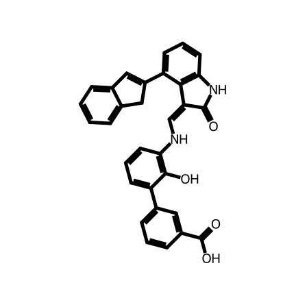 O=C1Nc2cccc(C3=Cc4ccccc4C3)c2/C1=C/Nc1cccc(-c2cccc(C(=O)O)c2)c1O